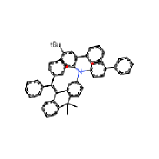 CC(C)(C)c1ccc(N(c2ccc(-c3ccccc3)cc2)c2ccc3c(c2)C(=C(c2ccccc2)c2ccccc2)c2ccccc2C3(C)C)c(-c2ccccc2)c1